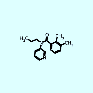 CCCN(C(=O)c1cccc(C)c1C)c1cccnc1